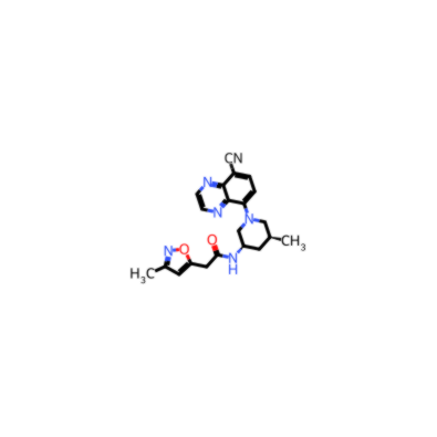 Cc1cc(CC(=O)N[C@@H]2C[C@H](C)CN(c3ccc(C#N)c4nccnc34)C2)on1